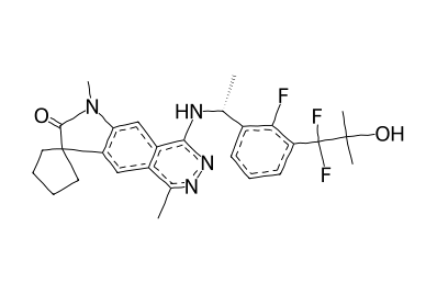 Cc1nnc(N[C@H](C)c2cccc(C(F)(F)C(C)(C)O)c2F)c2cc3c(cc12)C1(CCCC1)C(=O)N3C